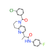 CC(C(=O)Nc1ccc(F)cc1)c1ccc2c(n1)CCCN2C(=O)c1cccc(Cl)c1